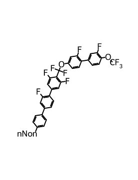 CCCCCCCCCc1ccc(-c2ccc(-c3cc(F)c(C(F)(F)Oc4ccc(-c5ccc(OC(F)(F)F)c(F)c5)c(F)c4)c(F)c3)c(F)c2)cc1